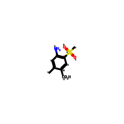 Cc1cc(N)c(S(C)(=O)=O)cc1C(=O)O